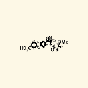 COCC(C)N(C)C(=O)OCc1c(C)noc1-c1ccc(O[C@@H]2CCC[C@@H](C(=O)O)C2)cc1